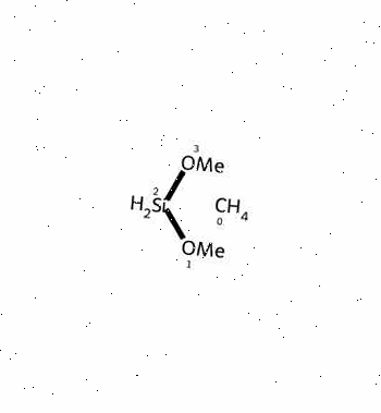 C.CO[SiH2]OC